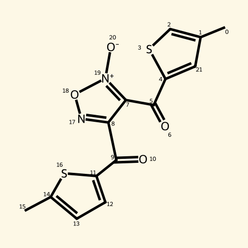 Cc1csc(C(=O)c2c(C(=O)c3ccc(C)s3)no[n+]2[O-])c1